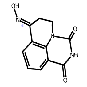 O=c1[nH]c(=O)n2c3c(cccc13)/C(=N/O)CC2